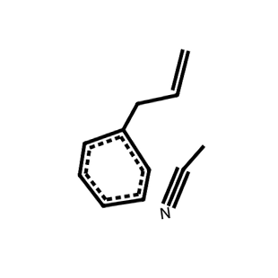 C=CCc1ccccc1.CC#N